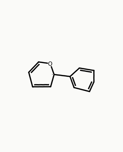 C1=CO[C](c2ccccc2)C=C1